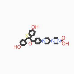 O=C(c1ccc(N2CCC(N3CCN(C(=O)O)CC3)CC2)cc1)c1c(-c2ccc(O)cc2)sc2cc(O)ccc12